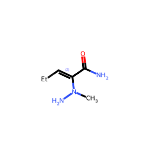 CC/C=C(/C(N)=O)N(C)N